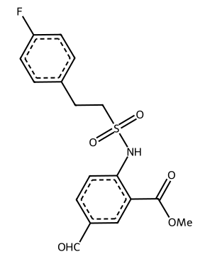 COC(=O)c1cc(C=O)ccc1NS(=O)(=O)CCc1ccc(F)cc1